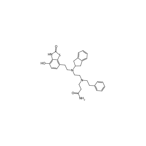 NC(=O)CCN(CCc1ccccc1)CCN(CCc1ccc(O)c2[nH]c(=O)sc12)C1Cc2ccccc2C1